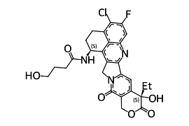 CC[C@@]1(O)C(=O)OCc2c1cc1n(c2=O)Cc2c-1nc1cc(F)c(Cl)c3c1c2[C@@H](NC(=O)CCCO)CC3